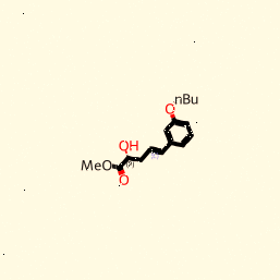 CCCCOc1cccc(/C=C/C[C@@H](O)C(=O)OC)c1